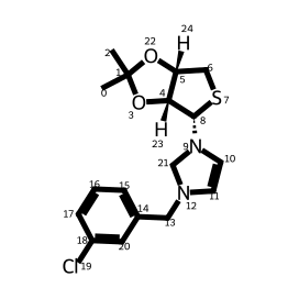 CC1(C)O[C@@H]2[C@@H](CS[C@@H]2N2C=CN(Cc3cccc(Cl)c3)C2)O1